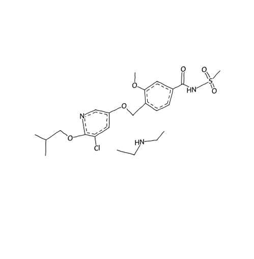 CCNCC.COc1cc(C(=O)NS(C)(=O)=O)ccc1COc1cnc(OCC(C)C)c(Cl)c1